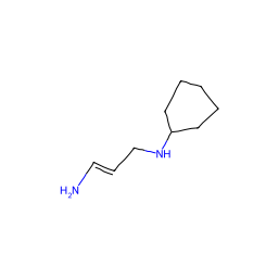 NC=CCNC1CCCCC1